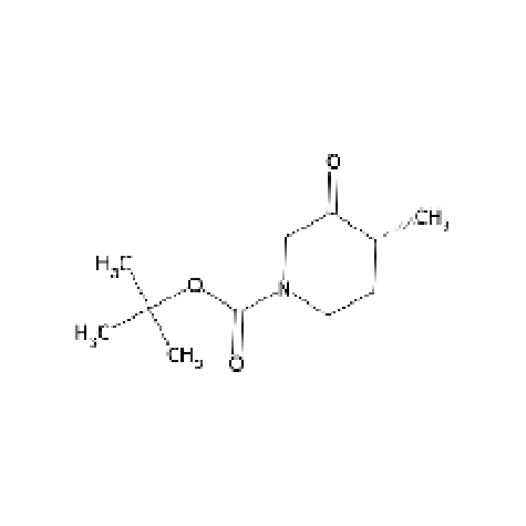 C[C@@H]1CCN(C(=O)OC(C)(C)C)CC1=O